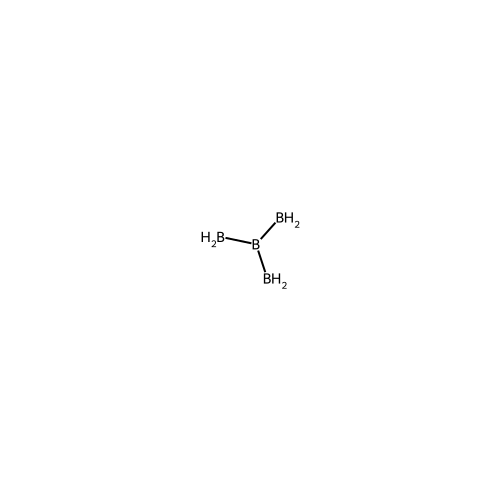 BB(B)B